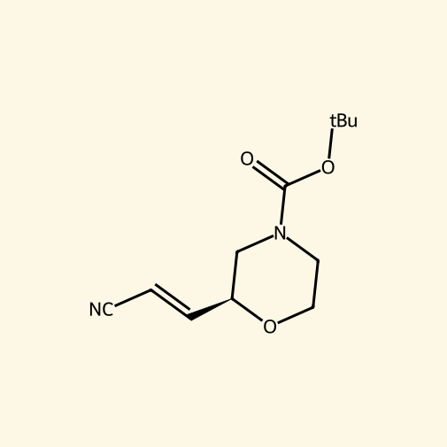 CC(C)(C)OC(=O)N1CCO[C@@H](/C=C/C#N)C1